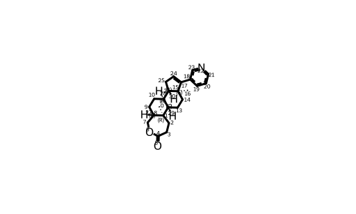 C[C@]12CCC(=O)OC[C@@H]1CC[C@@H]1[C@@H]2CC[C@]2(C)C(c3cccnc3)=CC[C@@H]12